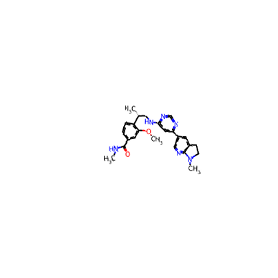 CNC(=O)c1ccc([C@H](C)CNc2cc(-c3cnc4c(c3)CCN4C)ncn2)c(OC)c1